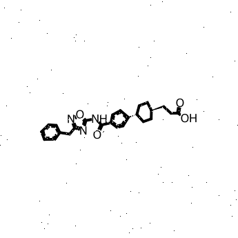 O=C(O)CC[C@H]1CC[C@H](c2ccc(C(=O)Nc3nc(Cc4ccccc4)no3)cc2)CC1